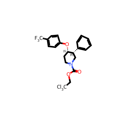 O=C(OCC(Cl)(Cl)Cl)N1CC[C@H](Oc2ccc(C(F)(F)F)cc2)[C@H](c2ccccc2)C1